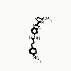 CC1CSC(c2nc3ccc(NC(=O)CCc4ccc([N+](=O)[O-])cc4)cc3s2)=N1